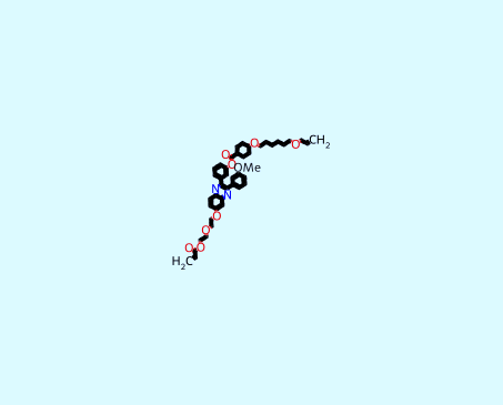 C=CCOCCCCCCOC1CCC(C(=O)Oc2cccc(-c3nc4ccc(OCCOCCOC(=O)C=C)cc4nc3-c3cccc(OC)c3)c2)CC1